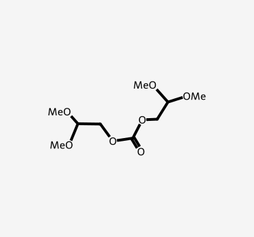 COC(COC(=O)OCC(OC)OC)OC